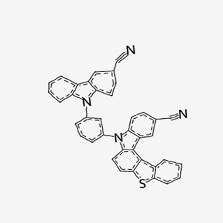 N#Cc1ccc2c(c1)c1ccccc1n2-c1cccc(-n2c3ccc(C#N)cc3c3c4c(ccc32)sc2ccccc24)c1